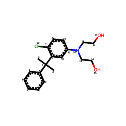 CC(C)(c1ccccc1)c1cc(N(CCO)CCO)ccc1Cl